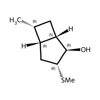 CS[C@@H]1C[C@H]2[C@H](C[C@H]2C)[C@H]1O